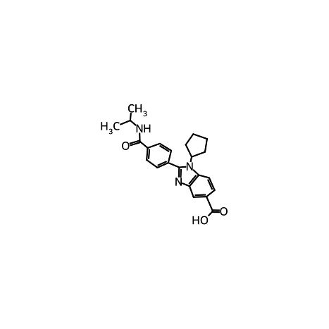 CC(C)NC(=O)c1ccc(-c2nc3cc(C(=O)O)ccc3n2C2CCCC2)cc1